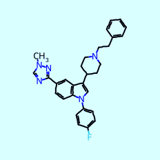 Cn1cnc(-c2ccc3c(c2)c(C2CCN(CCc4ccccc4)CC2)cn3-c2ccc(F)cc2)n1